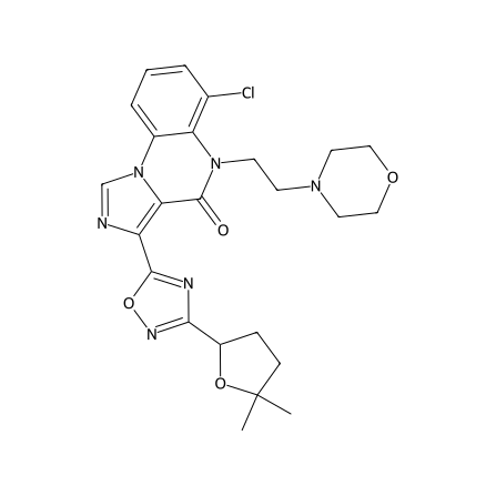 CC1(C)CCC(c2noc(-c3ncn4c3c(=O)n(CCN3CCOCC3)c3c(Cl)cccc34)n2)O1